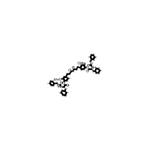 COc1cc(/C=C/C(=O)CC(=O)CCc2ccc(OC(=O)[C@H](Cc3ccccc3)NC(=O)OCc3ccccc3)c(OC)c2)ccc1OC(=O)[C@H](Cc1ccccc1)NC(=O)OCc1ccccc1